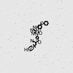 CC(C)(C=C(C#N)C(=O)N1CC(n2c(=O)n(-c3ccc(Oc4ccccc4)cc3)c3c(N)ncnc32)C1)N1CCNCC1